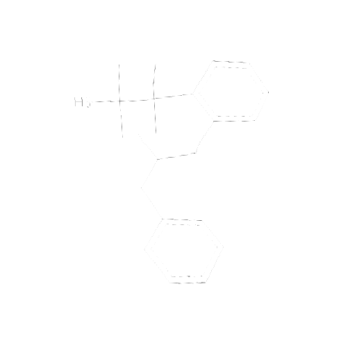 CC(Cc1ccccc1)Cc1ccccc1C(C)(C)C(C)(C)S